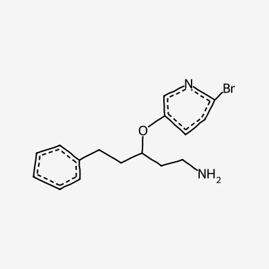 NCCC(CCc1ccccc1)Oc1ccc(Br)nc1